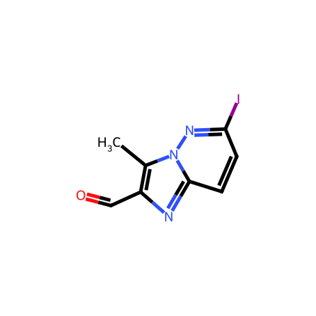 Cc1c(C=O)nc2ccc(I)nn12